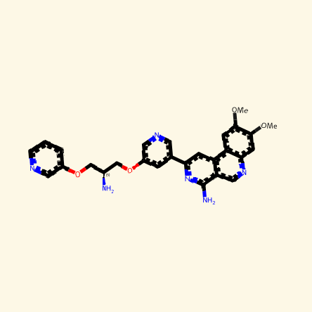 COc1cc2ncc3c(N)nc(-c4cncc(OC[C@@H](N)COc5cccnc5)c4)cc3c2cc1OC